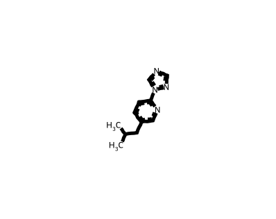 CC(C)Cc1ccc(-n2cncn2)nc1